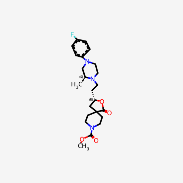 COC(=O)N1CCC2(CC1)C[C@H](CCN1CCN(c3ccc(F)cc3)C[C@@H]1C)OC2=O